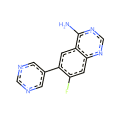 Nc1ncnc2cc(F)c(-c3cncnc3)cc12